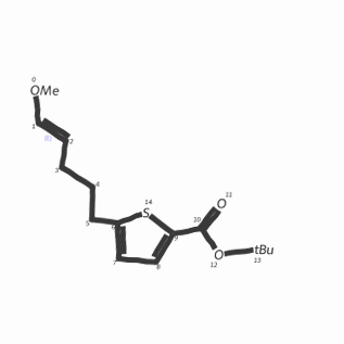 CO/C=C/CCCc1ccc(C(=O)OC(C)(C)C)s1